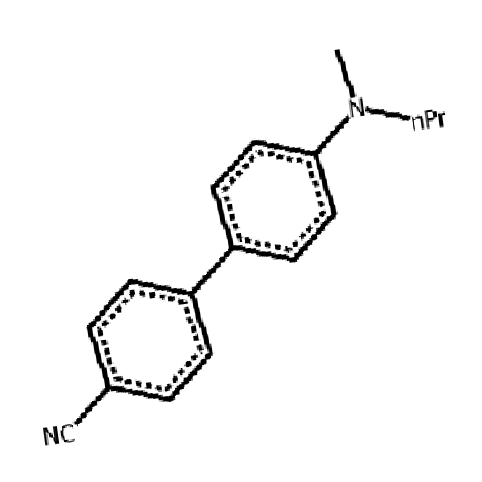 CCCN(C)c1ccc(-c2ccc(C#N)cc2)cc1